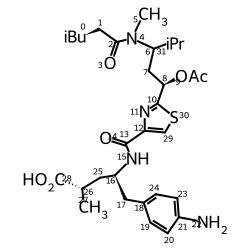 CC[C@H](C)CC(=O)N(C)C(C[C@@H](OC(C)=O)c1nc(C(=O)N[C@@H](Cc2ccc(N)cc2)C[C@H](C)C(=O)O)cs1)C(C)C